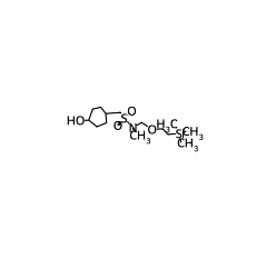 CN(COCC[Si](C)(C)C)S(=O)(=O)CC1CCC(O)CC1